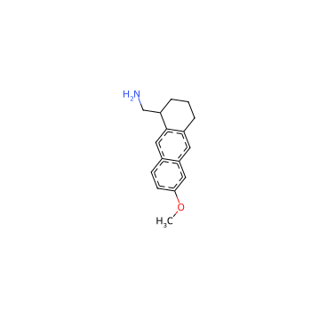 COc1ccc2cc3c(cc2c1)CCCC3CN